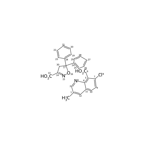 Cc1cnc2c(C(=O)O)c(Cl)ccc2c1.O=C(O)C1=NOC(c2ccccc2)(c2ccccc2)C1